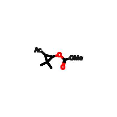 COC(=O)OC1C(C(C)=O)C1(C)C